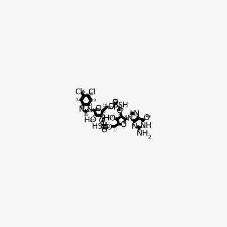 Nc1nc2c(ncn2C2OC3COP(=O)(S)OC4C(COP(=O)(S)OC2C3O)OC(n2cnc3cc(Cl)c(Cl)cc32)C4O)c(=O)[nH]1